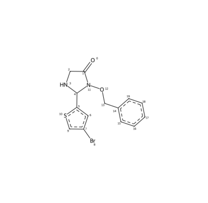 O=C1CNC(c2cc(Br)cs2)N1OCc1ccccc1